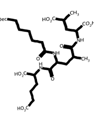 CCCCCCCCCCCCCCCC(=O)NC(CC(C)C(=O)NC(CC(C)C(=O)O)C(=O)O)C(=O)NC(CCCC(=O)O)C(=O)O